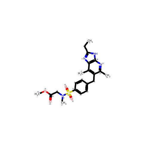 CCc1nc2c(C)c(Cc3ccc(S(=O)(=O)N(C)CC(=O)OC)cc3)c(C)nc2[nH]1